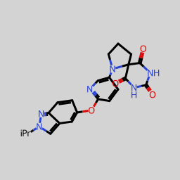 CC(C)n1cc2cc(Oc3ccc(N4CCCC45C(=O)NC(=O)NC5=O)cn3)ccc2n1